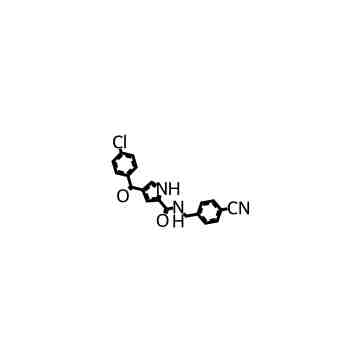 N#Cc1ccc(CNC(=O)c2cc(C(=O)c3ccc(Cl)cc3)c[nH]2)cc1